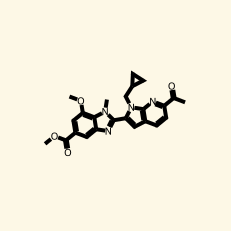 COC(=O)c1cc(OC)c2c(c1)nc(-c1cc3ccc(C(C)=O)nc3n1CC1CC1)n2C